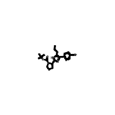 CCCc1[nH]c(C2CCCN2C(=O)OC(C)(C)C)nc1-c1ccc(Br)cc1